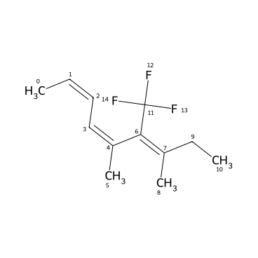 C\C=C/C=C(C)\C(=C(/C)CC)C(F)(F)F